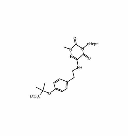 CCCCCCCn1c(=O)c(NCCc2ccc(OC(C)(C)C(=O)OCC)cc2)nn(C)c1=O